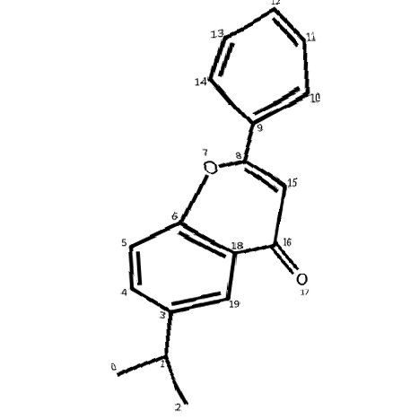 CC(C)c1ccc2oc(-c3ccccc3)cc(=O)c2c1